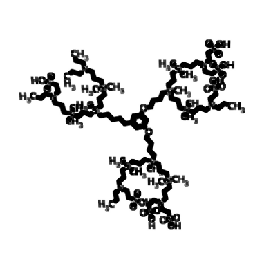 CCCN(CCC)CCC[Si](C)(C)CCC[Si](C)(CCCCCc1cc(OCCCC[Si](C)(CCC[Si](C)(C)CCCN(CCC)CCS(=O)(=O)O)CCC[Si](C)(C)CCCN(CCS(=O)(=O)O)CCS(=O)(=O)O)cc(OCCCC[Si](C)(CCC[Si](C)(C)CCCN(CCC)CCS(=O)(=O)O)CCC[Si](C)(C)CCCN(CCS(=O)(=O)O)CCS(=O)(=O)O)c1)CCC[Si](C)(C)CCCN(CCC)CCS(=O)(=O)O